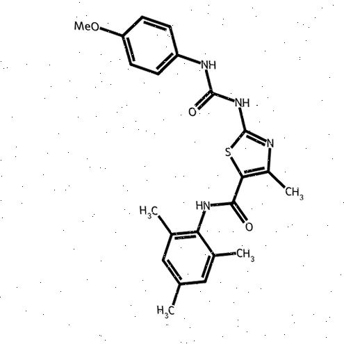 COc1ccc(NC(=O)Nc2nc(C)c(C(=O)Nc3c(C)cc(C)cc3C)s2)cc1